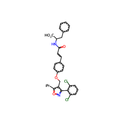 CC(C)c1onc(-c2c(Cl)cccc2Cl)c1COc1ccc(/C=C/C(=O)NC(Cc2ccccc2)C(=O)O)cc1